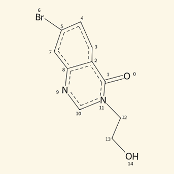 O=c1c2ccc(Br)cc2ncn1CCO